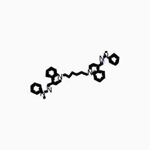 CN(/N=C/c1cc[n+](CCCCCC[n+]2ccc(/C=N/N(C)c3ccccc3)c3ccccc32)c2ccccc12)c1ccccc1